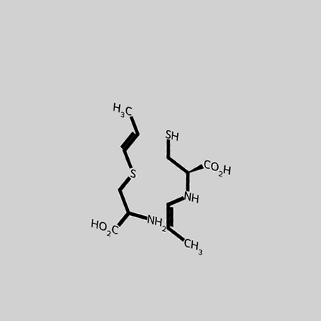 C/C=C/SCC(N)C(=O)O.C/C=C\N[C@@H](CS)C(=O)O